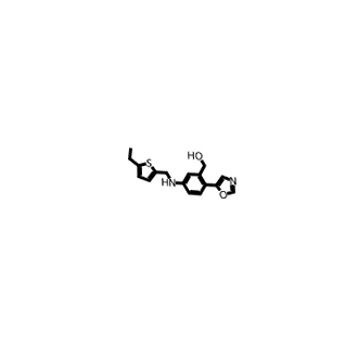 CCc1ccc(CNc2ccc(-c3cnco3)c(CO)c2)s1